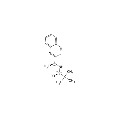 C[C@H](N[S@+]([O-])C(C)(C)C)c1ccc2ccccc2n1